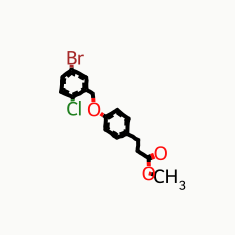 COC(=O)CCc1ccc(OCc2cc(Br)ccc2Cl)cc1